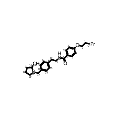 CC(C)CCOc1ccc(C(=O)NCCc2ccc(CN3CCCC3C)cc2)cc1